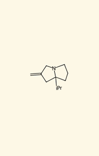 C=C1CN2CCCC2(C(C)C)C1